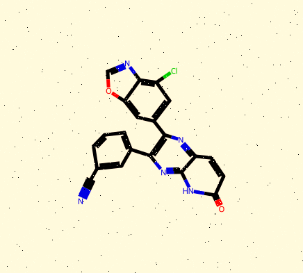 N#Cc1cccc(-c2nc3[nH]c(=O)ccc3nc2-c2cc(Cl)c3ncoc3c2)c1